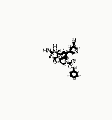 CN1C(=N)N[C@](C)(c2cc(-c3cncc(C#N)c3)cs2)[C@@H](C2CCN(C(=O)OCc3ccccc3)CC2)C1=O